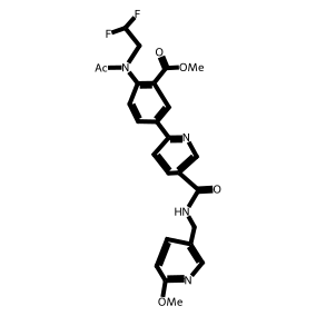 COC(=O)c1cc(-c2ccc(C(=O)NCc3ccc(OC)nc3)cn2)ccc1N(CC(F)F)C(C)=O